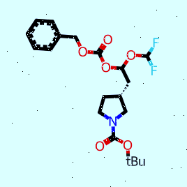 CC(C)(C)OC(=O)N1CC[C@H](CC(OC(=O)OCc2ccccc2)OC(F)F)C1